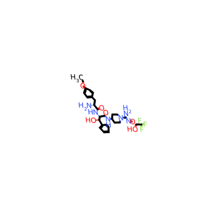 CCOc1ccc(C[C@@H](N)C(=O)N[C@H](C(=O)NC2CCN(/C(N)=N/OC(O)C(F)(F)F)CC2)[C@H](O)c2ccccc2)cc1